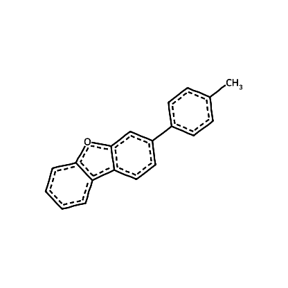 Cc1ccc(-c2ccc3c(c2)oc2ccccc23)cc1